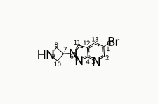 Brc1cnc2nn(C3CNC3)cc2c1